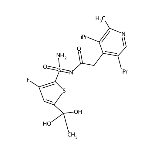 Cc1ncc(C(C)C)c(CC(=O)N=S(N)(=O)c2sc(C(C)(O)O)cc2F)c1C(C)C